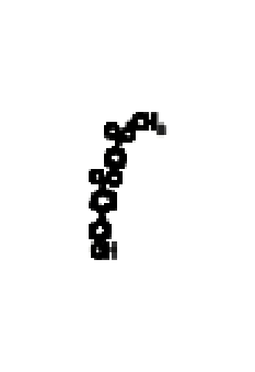 CCOC(=O)c1ccc(OC(=O)c2ccc(-c3ccc(O)cc3)cc2)cc1